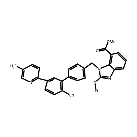 CCOc1nc2cccc(C(=O)OC)c2n1Cc1ccc(-c2cc(-c3ccc(C)cn3)ccc2C#N)cc1